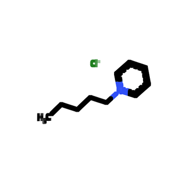 CCCCC[n+]1ccccc1.[Cl-]